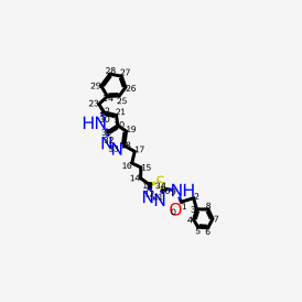 O=C(Cc1ccccc1)Nc1nnc(CCCCc2cc3cc(Cc4ccccc4)[nH]c3nn2)s1